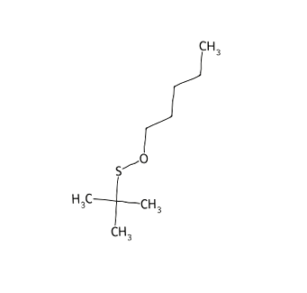 CCCCCOSC(C)(C)C